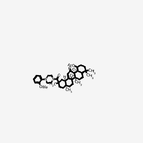 COc1ccccc1N1CCN(C(=O)C2(C)CC[C@]3(C)CC[C@]4(C)C(=CC(=O)C5[C@@]6(C)C(OC(C)=O)CCC(C)(C)C6CC[C@]54C)[C@@H]3C2)CC1